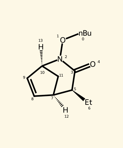 CCCCON1C(=O)[C@@H](CC)[C@H]2C=C[C@@H]1C2